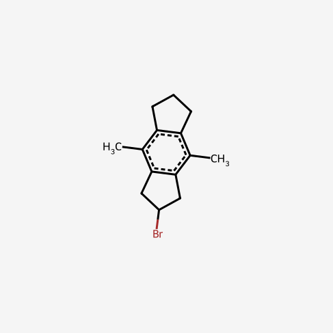 Cc1c2c(c(C)c3c1CC(Br)C3)CCC2